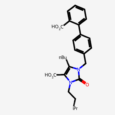 CCCCc1c(C(=O)O)n(CCC(C)C)c(=O)n1Cc1ccc(-c2ccccc2C(=O)O)cc1